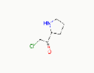 O=C(CCl)C1CCCN1